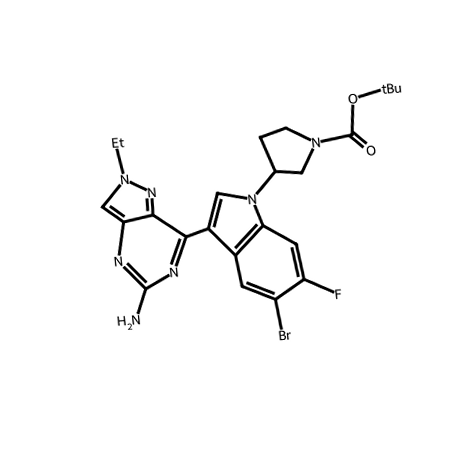 CCn1cc2nc(N)nc(-c3cn(C4CCN(C(=O)OC(C)(C)C)C4)c4cc(F)c(Br)cc34)c2n1